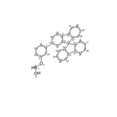 OBOc1cccc(-c2ccc3c(c2)C2(c4ccccc4-c4ccccc42)c2ccccc2-3)c1